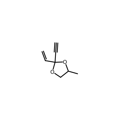 C#CC1(C=C)OCC(C)O1